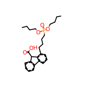 CCCCOP(=O)(CCCCc1cccc2c1C(C(=O)O)c1ccccc1-2)OCCCC